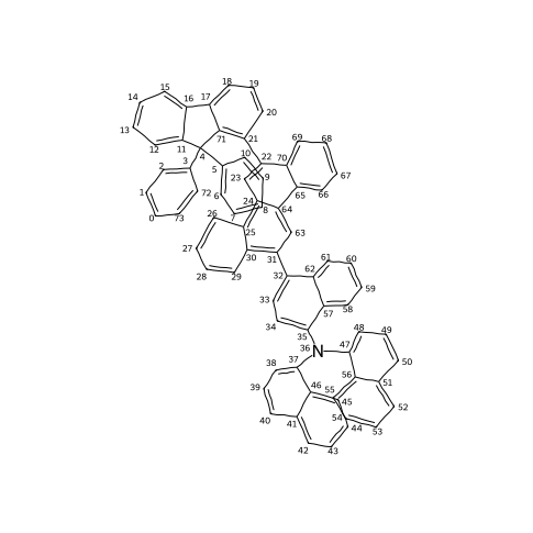 c1ccc(C2(c3ccccc3)c3ccccc3-c3cccc(-c4cc5c6ccccc6c(-c6ccc(N(c7cccc8ccccc78)c7cccc8ccccc78)c7ccccc67)cc5c5ccccc45)c32)cc1